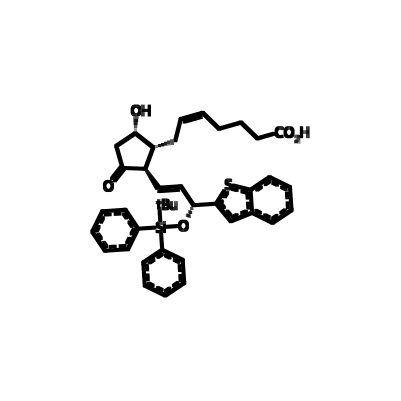 CC(C)(C)[Si](O[C@H](/C=C/[C@H]1C(=O)C[C@H](O)[C@@H]1C/C=C\CCCC(=O)O)c1cc2ccccc2s1)(c1ccccc1)c1ccccc1